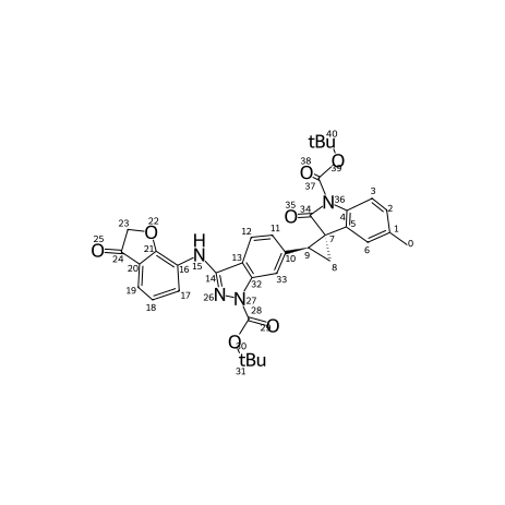 Cc1ccc2c(c1)[C@]1(C[C@H]1c1ccc3c(Nc4cccc5c4OCC5=O)nn(C(=O)OC(C)(C)C)c3c1)C(=O)N2C(=O)OC(C)(C)C